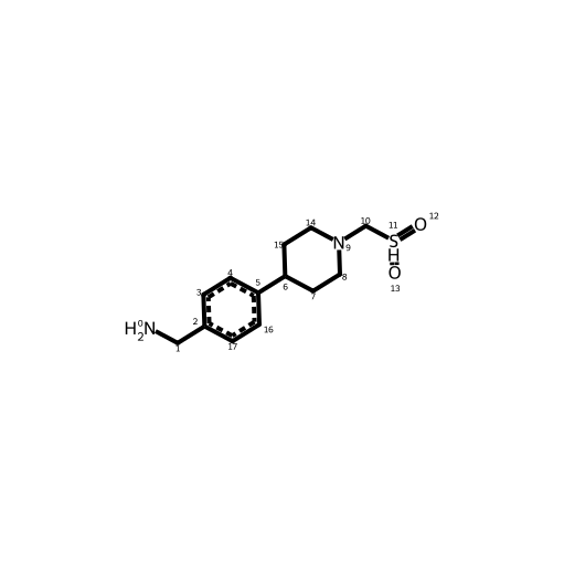 NCc1ccc(C2CCN(C[SH](=O)=O)CC2)cc1